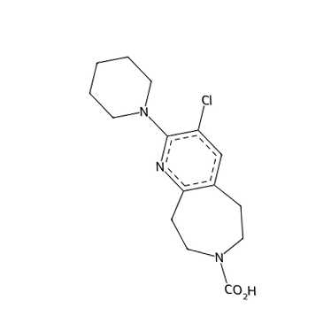 O=C(O)N1CCc2cc(Cl)c(N3CCCCC3)nc2CC1